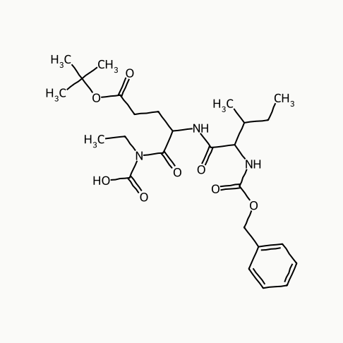 CCC(C)C(NC(=O)OCc1ccccc1)C(=O)NC(CCC(=O)OC(C)(C)C)C(=O)N(CC)C(=O)O